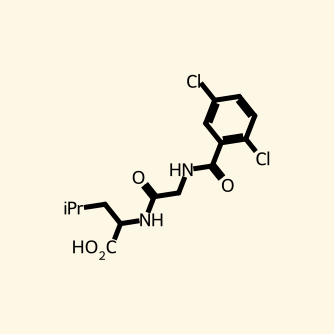 CC(C)CC(NC(=O)CNC(=O)c1cc(Cl)ccc1Cl)C(=O)O